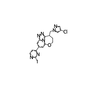 Clc1cnn(CC2CCOc3cc(-c4ccnc(I)n4)cc4nnc2n34)c1